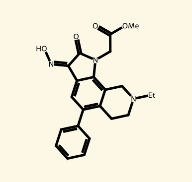 CCN1CCc2c(-c3ccccc3)cc3c(c2C1)N(CC(=O)OC)C(=O)C3=NO